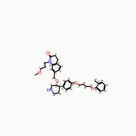 COCCCN1C(=O)CCc2ccc(CO[C@H]3CNCC[C@@H]3c3ccc(OCCCCOc4ccccc4C)cc3)cc21